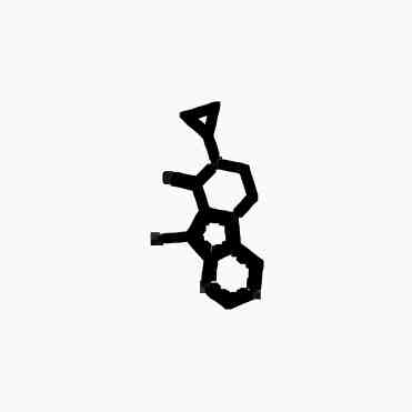 O=C1c2c(Br)c3ncncc3n2CCN1C1CC1